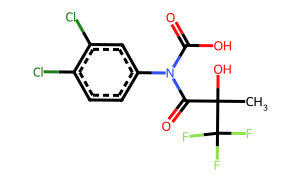 CC(O)(C(=O)N(C(=O)O)c1ccc(Cl)c(Cl)c1)C(F)(F)F